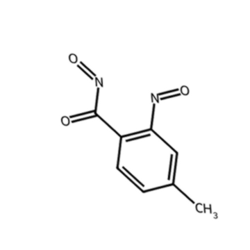 Cc1ccc(C(=O)N=O)c(N=O)c1